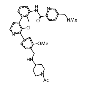 CNCc1ccc(C(=O)Nc2cccc(-c3ccnc(-c4ccc(CNC5CCN(C(C)=O)CC5)c(OC)c4)c3Cl)c2C)nc1